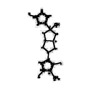 Cc1c(C2CC3CC(O)(c4cn(C)nn4)CC3C2)nn(C)c1N